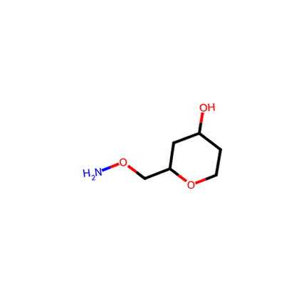 NOCC1CC(O)CCO1